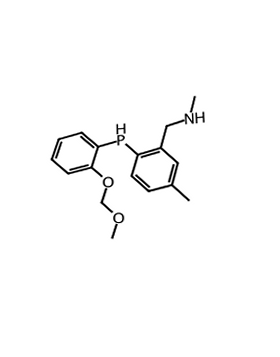 CNCc1cc(C)ccc1Pc1ccccc1OCOC